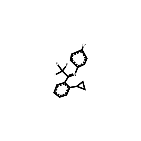 FC(F)(F)C(=Nc1ccc(Br)cc1)c1ccccc1C1CC1